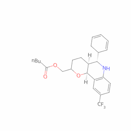 CCCCC(=O)OCC1CC[C@@H]2[C@H](O1)c1cc(C(F)(F)F)ccc1N[C@H]2C1C=CC=CC1